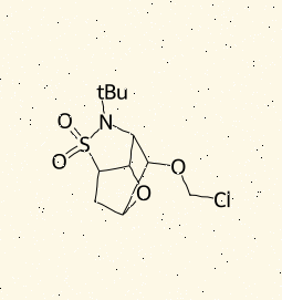 CC(C)(C)N1C2C(OCCl)C3CC(C2O3)S1(=O)=O